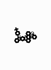 CC(C)(C)c1ccc(-n2c3ccccc3c3cc4c5cccc6c5n(c4cc32)-c2cccc3c2B6c2ccccc2O3)cc1